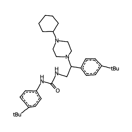 CC(C)(C)c1ccc(NC(=O)NCC(c2ccc(C(C)(C)C)cc2)N2CCN(C3CCCCC3)CC2)cc1